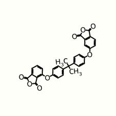 CC(C)(c1ccc(Oc2ccc3c(c2)C(=O)OC3=O)cc1)c1ccc(Oc2cccc3c2C(=O)OC3=O)cc1